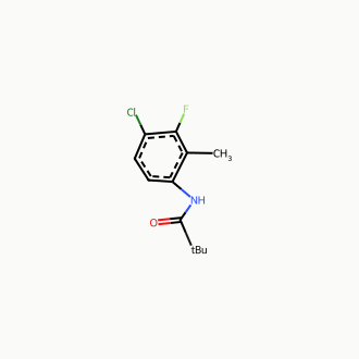 Cc1c(NC(=O)C(C)(C)C)ccc(Cl)c1F